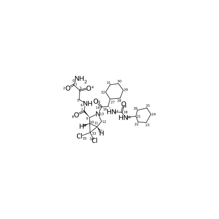 NC(=O)C(=O)CNC(=O)[C@@H]1[C@@H]2[C@H](CN1C(=O)[C@@H](NC(=O)NC1CCCCC1)C1CCCCC1)C2(Cl)Cl